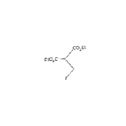 CCOC(=O)C(CI)C(=O)OCC